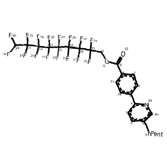 CCCCCc1ccc(-c2ccc(C(=O)OCC(F)(F)C(F)(F)C(F)(F)C(F)(F)C(F)(F)C(F)(F)C(F)(F)C(F)F)cc2)nc1